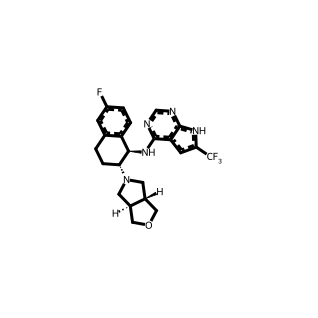 Fc1ccc2c(c1)CC[C@@H](N1C[C@@H]3COC[C@H]3C1)[C@@H]2Nc1ncnc2[nH]c(C(F)(F)F)cc12